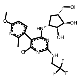 COc1ccc(-c2c(Cl)nc(NCC(F)(F)F)nc2N[C@@H]2C[C@H](CO)[C@@H](O)[C@H]2O)c(C)n1